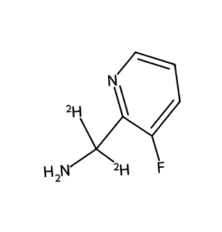 [2H]C([2H])(N)c1ncccc1F